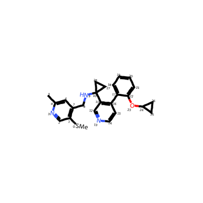 CSc1cnc(C)cc1CNC1(c2cnccc2-c2ccccc2OC2CC2)CC1